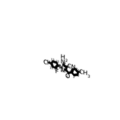 Cc1ccc(C(=O)c2nn(-c3ccc(Cl)cc3F)c(N)c2C#N)cc1